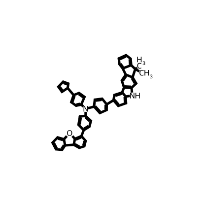 CC1(C)c2ccccc2-c2cc3c(cc21)[nH]c1ccc(-c2ccc(N(c4ccc(-c5cccc6c5oc5ccccc56)cc4)c4ccc(C5C=CC=C5)cc4)cc2)cc13